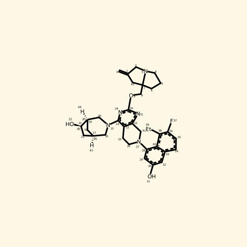 C=C1CN2CCCC2(COc2nc3c(c(N4C[C@@H]5C[C@H](C4)[C@H](O)C5)n2)CCN(c2cc(O)cc4ccc(F)c(CC)c24)C3)C1